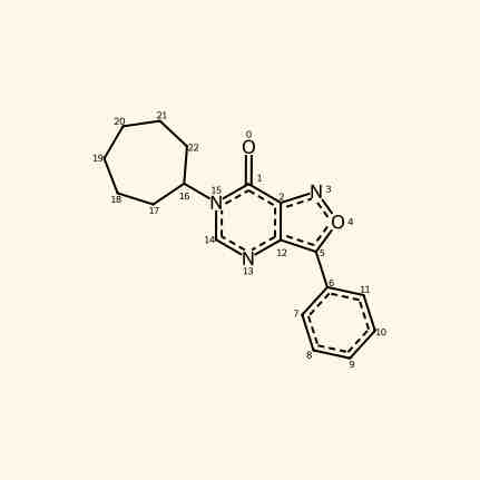 O=c1c2noc(-c3ccccc3)c2ncn1C1CCCCCC1